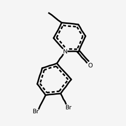 Cc1ccc(=O)n(-c2ccc(Br)c(Br)c2)c1